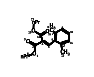 CCCOC(=O)C(=Cc1c(C)cccc1C)C(=O)OCCC